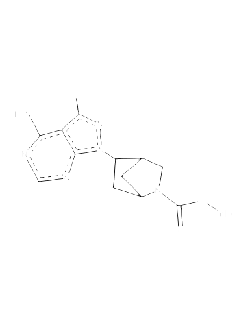 CCCCOC(=O)N1CC2CC1CC2n1nc(I)c2c(N)ncnc21